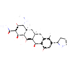 CCCN[C@@H]1C(O)=C(C(N)=O)C(=O)[C@@]2(O)C(O)=C3C(=O)c4c(O)cc(C5CCCN5)c(C(F)(F)F)c4C[C@H]3C[C@@H]12